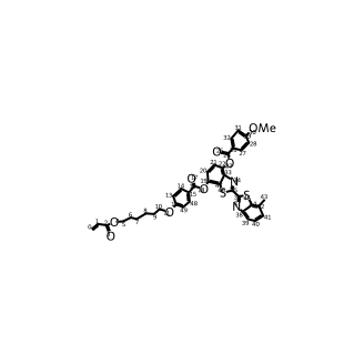 C=CC(=O)OCCCCCCOc1ccc(C(=O)Oc2ccc(OC(=O)c3ccc(OC)cc3)c3nc(-c4nc5cccc(C)c5s4)sc23)cc1